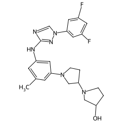 Cc1cc(Nc2ncn(-c3cc(F)cc(F)c3)n2)cc(N2CCC(N3CCC(O)C3)C2)c1